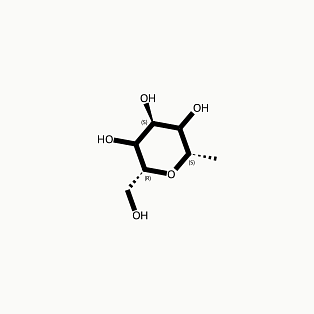 C[C@@H]1O[C@H](CO)C(O)[C@@H](O)C1O